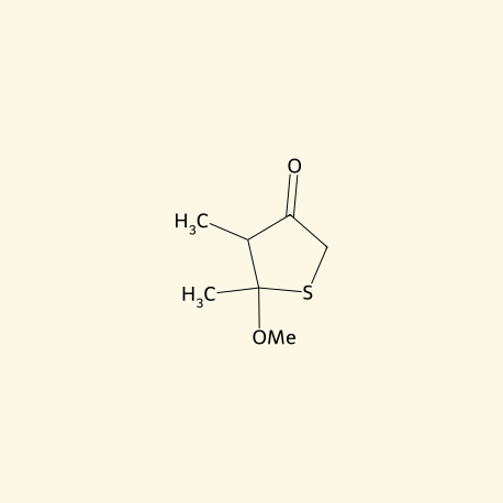 COC1(C)SCC(=O)C1C